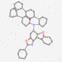 c1ccc(-c2ccc(-c3ccccc3N(c3ccc(-c4ccccc4)cc3)c3cc4oc(-c5ccccc5)nc4c4c3oc3ccccc34)cc2)cc1